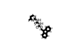 Cc1ccnc(NC(=S)NC(=O)OCC2c3ccccc3-c3ccccc32)n1